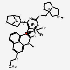 COCOc1cc(N(C)c2nc3c(N4CC5CCC(C4)N5C(=O)O)nc(OC[C@@]45CCCN4C[C@H](F)C5)nc3s2)c2c(C#C[Si](C(C)C)(C(C)C)C(C)C)cccc2c1